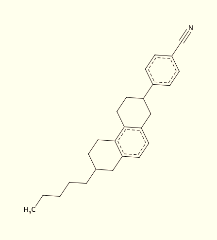 CCCCCC1CCc2c(ccc3c2CCC(c2ccc(C#N)cc2)C3)C1